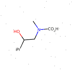 CC(C)C(O)CN(C)C(=O)O